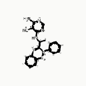 CC(Nc1ncnc(N)c1C#N)C1=Nc2ccccc2SN1c1ccccc1